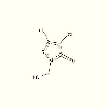 O=c1c(Cl)c(Cl)sn1CO